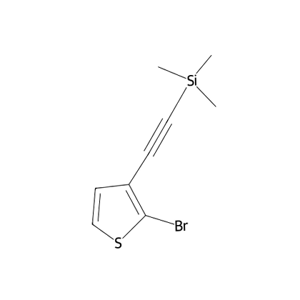 C[Si](C)(C)C#Cc1ccsc1Br